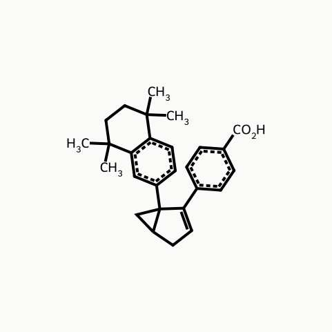 CC1(C)CCC(C)(C)c2cc(C34CC3CC=C4c3ccc(C(=O)O)cc3)ccc21